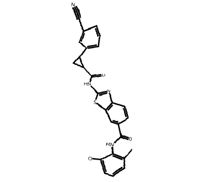 Cc1cccc(Cl)c1NC(=O)c1ccc2nc(NC(=O)C3CC3c3cccc(C#N)c3)sc2c1